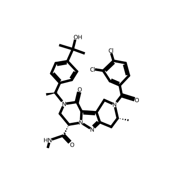 CNC(=O)[C@@H]1CN([C@@H](C)c2ccc(C(C)(C)O)cc2)C(=O)c2c3c(nn21)C[C@@H](C)N(C(=O)c1ccc(Cl)c(Cl)c1)C3